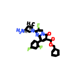 C[C@H]1C[C@H](N)CN1c1nc2c(-c3ccc(F)cc3F)cc(C(=O)OCc3ccccc3)c(=O)n2cc1F